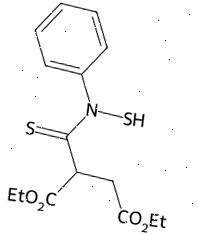 CCOC(=O)CC(C(=O)OCC)C(=S)N(S)c1ccccc1